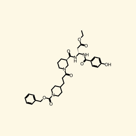 CCOC(=O)C[C@H](NC(=O)c1ccc(O)cc1)NC(=O)[C@@H]1CCCN(C(=O)CCC2CCN(C(=O)OCc3ccccc3)CC2)C1